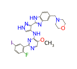 COc1cnc(-c2cc(I)ccc2F)nc1Nc1c[nH]nc1-c1nc2cc(CN3CCOCC3)ccc2[nH]1